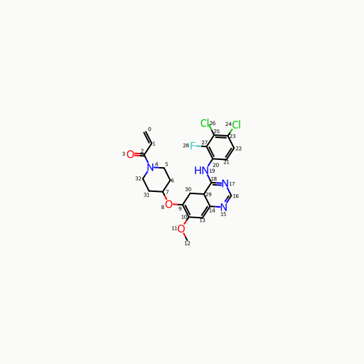 C=CC(=O)N1CCC(OC2=C(OC)C=C3N=CN=C(Nc4ccc(Cl)c(Cl)c4F)C3C2)CC1